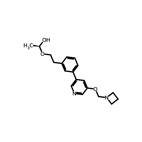 C[C@@H](O)OCCc1cccc(-c2cncc(OCN3CCC3)c2)c1